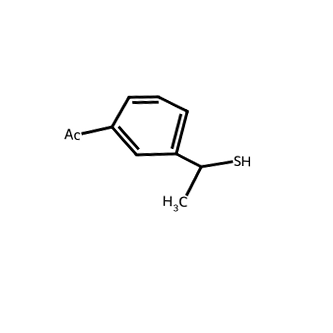 CC(=O)c1cccc(C(C)S)c1